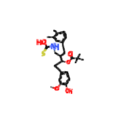 COc1cc(CC(OC(=O)C(C)(C)C)C(CNC(O)=S)Cc2ccc(C)c(C)c2)ccc1O